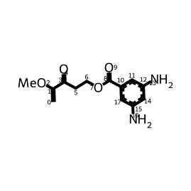 C=C(OC)C(=O)CCOC(=O)c1cc(N)cc(N)c1